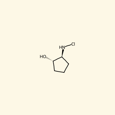 O[C@H]1CCC[C@@H]1NCl